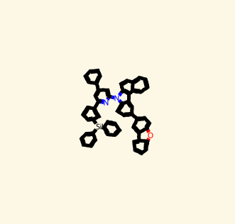 c1ccc(-c2cc(-c3cccc([SiH](c4ccccc4)c4ccccc4)c3)nc(-n3c4ccc(-c5ccc6oc7ccccc7c6c5)cc4c4c5ccccc5ccc43)c2)cc1